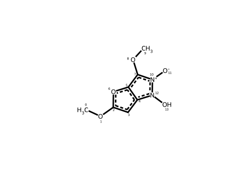 COc1cc2c(o1)c(OC)[n+]([O-])n2O